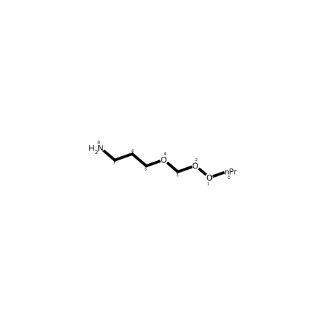 CCCOOCOCCCN